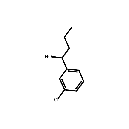 CCC[C@H](O)c1cccc(Cl)c1